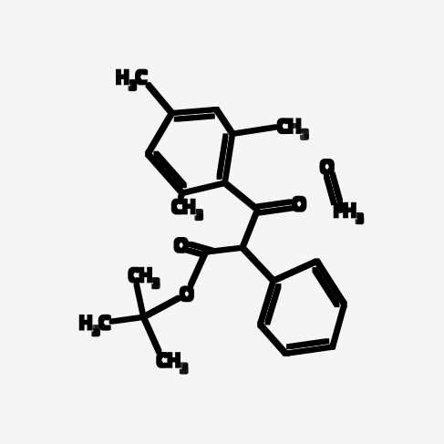 Cc1cc(C)c(C(=O)C(C(=O)OC(C)(C)C)c2ccccc2)c(C)c1.O=[PH3]